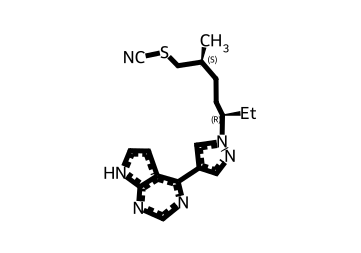 CC[C@H](CC[C@H](C)CSC#N)n1cc(-c2ncnc3[nH]ccc23)cn1